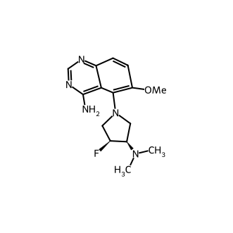 COc1ccc2ncnc(N)c2c1N1C[C@@H](N(C)C)[C@@H](F)C1